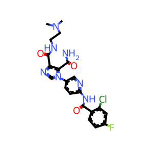 CN(C)CCNC(=O)c1ncn(-c2ccc(NC(=O)c3ccc(F)cc3Cl)nc2)c1C(N)=O